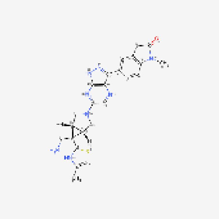 CC1=CSC(C2(CN)[C@@H]3CN(c4cnc5c(-c6ccc7c(c6)CC(=O)N7C)n[nH]c5n4)C[C@@H]32)N1